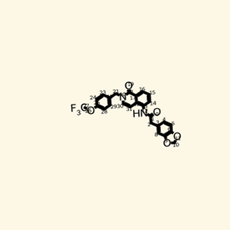 O=C(Cc1ccc2c(c1)OCO2)Nc1cccc2c(=O)n(Cc3ccc(OC(F)(F)F)cc3)ccc12